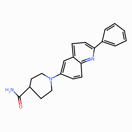 NC(=O)C1CCN(c2ccc3nc(-c4ccccc4)ccc3c2)CC1